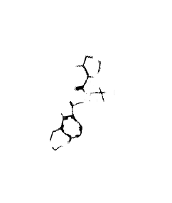 CC(C)(C)N(NC(=O)c1ccc2c(c1F)COCO2)C(=O)C1=C(F)COCO1